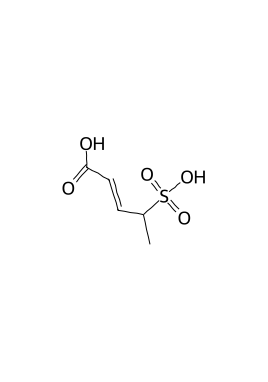 CC(/C=C/C(=O)O)S(=O)(=O)O